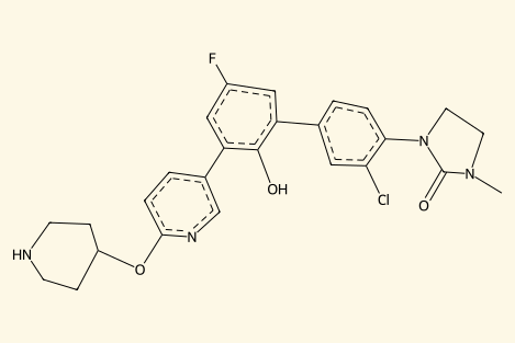 CN1CCN(c2ccc(-c3cc(F)cc(-c4ccc(OC5CCNCC5)nc4)c3O)cc2Cl)C1=O